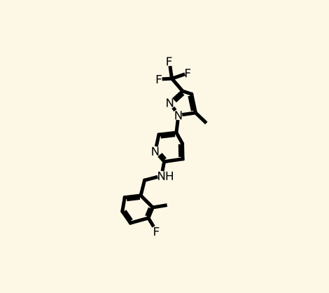 Cc1c(F)cccc1CNc1ccc(-n2nc(C(F)(F)F)cc2C)cn1